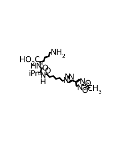 CC(C)[C@H](NC(=O)CCCCCn1cc(-c2cnc(S(C)(=O)=O)nc2)nn1)C(=O)N[C@@H](CCCCN)C(=O)O